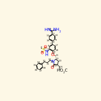 CS(=O)(=O)Nc1cc(-c2ccc(C(=N)N)cc2)ccc1OC[C@@H]1C[C@@H](CC(=O)O)C(=O)N1CCCc1ccccc1